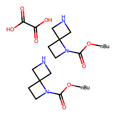 CCCCOC(=O)N1CCC12CNC2.CCCCOC(=O)N1CCC12CNC2.O=C(O)C(=O)O